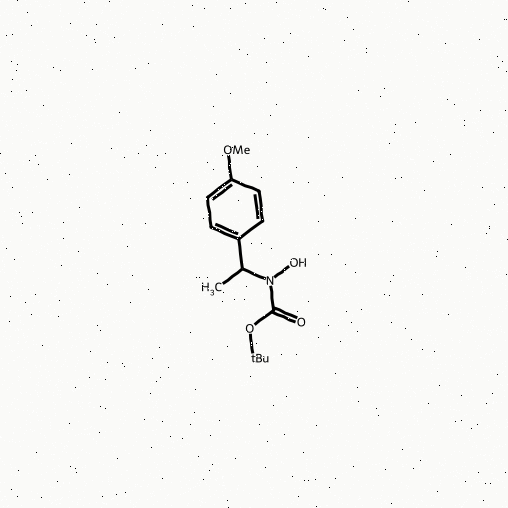 COc1ccc(C(C)N(O)C(=O)OC(C)(C)C)cc1